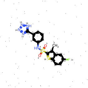 Cc1c(S(=O)(=O)Nc2cccc(-c3nnn[nH]3)c2)sc2ccc(F)cc12